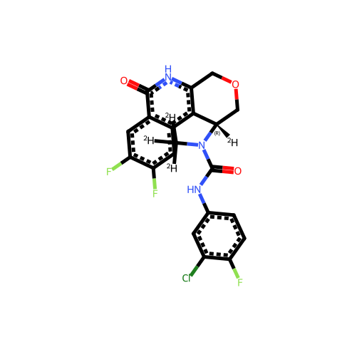 [2H]C([2H])([2H])N(C(=O)Nc1ccc(F)c(Cl)c1)[C@@]1([2H])COCc2[nH]c(=O)c3cc(F)c(F)cc3c21